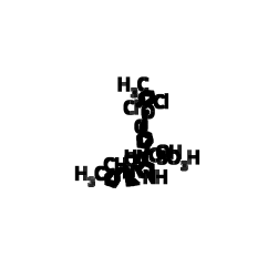 Cc1cc(Cl)c(OCCOc2ccc(C(=O)N[C@H]3CCNCC3C(=O)N(Cc3cccc(C)c3C)C3CC3)cc2)c(Cl)c1.O=S(=O)(O)O